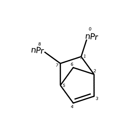 CCC[C]1C2C=CC(C2)C1CCC